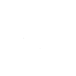 C=CCOC(=O)CC(C(=O)OCC)S(=O)(=O)O.[NaH].[NaH]